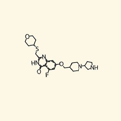 O=c1[nH]c(CSC2CCOCC2)nc2cc(OCC3CCN(C4CCNC4)CC3)cc(F)c12